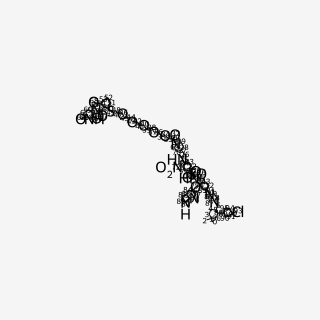 CC1(C)CCC(CN2CCN(c3ccc(C(=O)NS(=O)(=O)c4ccc(NCC5CCN(C(=O)COCCOCCOCCOCCOCCSc6cccc7c6C(=O)N(C6CCC(=O)NC6=O)C7=O)CC5)c([N+](=O)[O-])c4)c(Oc4cnc5[nH]ccc5c4)c3)CC2)=C(c2ccc(Cl)cc2)C1